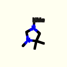 CNN1CN(C)C(C)(C)C1